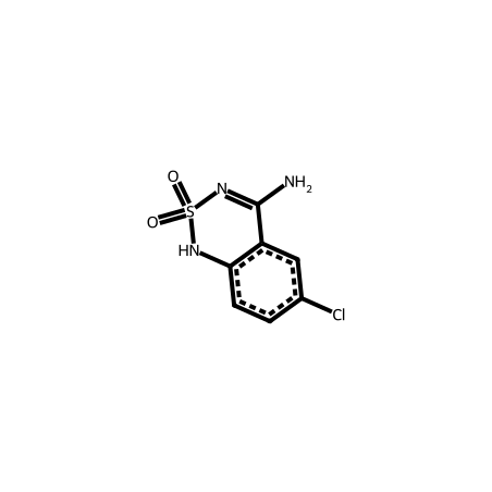 NC1=NS(=O)(=O)Nc2ccc(Cl)cc21